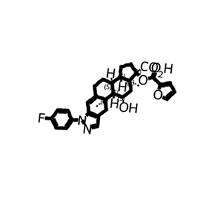 C[C@]12Cc3cnn(-c4ccc(F)cc4)c3C=C1CC[C@@H]1[C@@H]2[C@@H](O)C[C@@]2(C)[C@H]1CC[C@]2(OC(=O)c1ccco1)C(=O)O